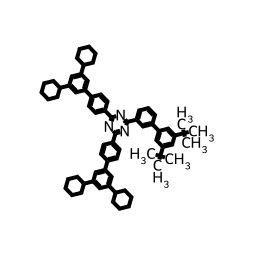 CC(C)(C)c1cc(-c2cccc(-c3nc(-c4ccc(-c5cc(C6CCCCC6)cc(C6CCCCC6)c5)cc4)nc(-c4ccc(-c5cc(C6CCCCC6)cc(C6CCCCC6)c5)cc4)n3)c2)cc(C(C)(C)C)c1